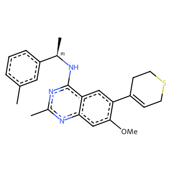 COc1cc2nc(C)nc(N[C@H](C)c3cccc(C)c3)c2cc1C1=CCSCC1